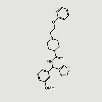 COc1cccc(C(NC(=O)C2CCN(CCOc3ccccc3)CC2)c2cocn2)c1